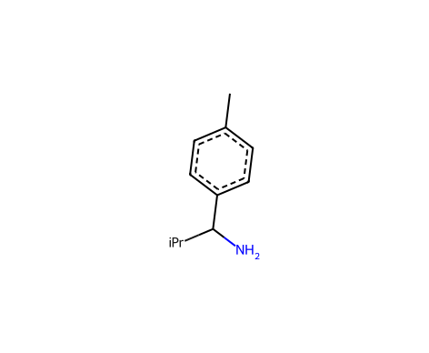 Cc1ccc(C(N)C(C)C)cc1